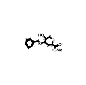 COC(=O)C1CC(OCc2ccccc2)C(O)CO1